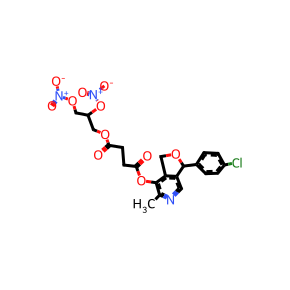 Cc1ncc2c(c1OC(=O)CCC(=O)OCC(CO[N+](=O)[O-])O[N+](=O)[O-])COC2c1ccc(Cl)cc1